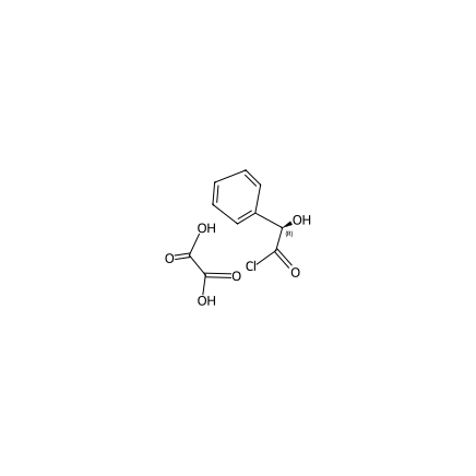 O=C(Cl)[C@H](O)c1ccccc1.O=C(O)C(=O)O